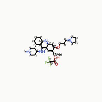 COc1cc2c(NC3CCN(C)CC3)c3c(nc2cc1OCCCN1CCCC1)CCCC3.O=C(O)C(F)(F)F